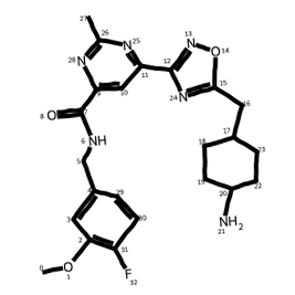 COc1cc(CNC(=O)c2cc(-c3noc(CC4CCC(N)CC4)n3)nc(C)n2)ccc1F